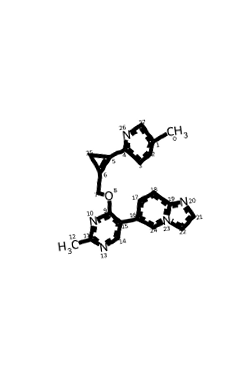 Cc1ccc(C2=C(COc3nc(C)ncc3-c3ccc4nccn4c3)C2)nc1